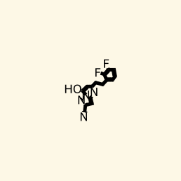 N#Cc1cc2nc(CCc3cccc(F)c3F)cc(O)n2n1